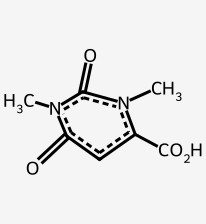 Cn1c(C(=O)O)cc(=O)n(C)c1=O